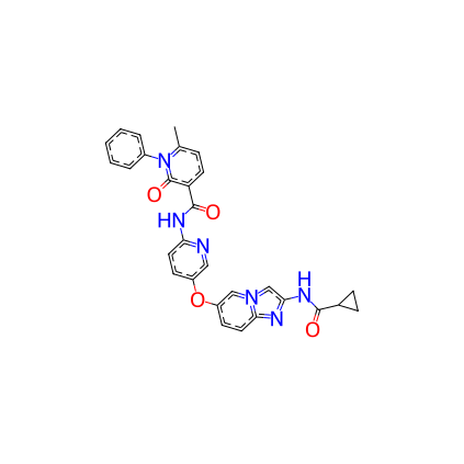 Cc1ccc(C(=O)Nc2ccc(Oc3ccc4nc(NC(=O)C5CC5)cn4c3)cn2)c(=O)n1-c1ccccc1